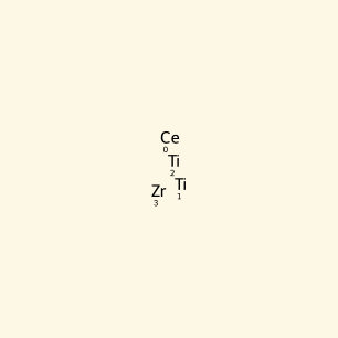 [Ce].[Ti].[Ti].[Zr]